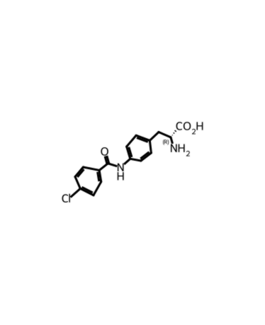 N[C@H](Cc1ccc(NC(=O)c2ccc(Cl)cc2)cc1)C(=O)O